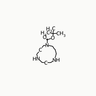 CC(C)(C)OC(=O)N1CCCNCCCNCCC1